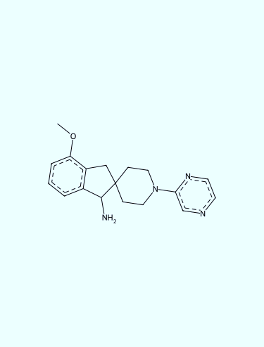 COc1cccc2c1CC1(CCN(c3cnccn3)CC1)C2N